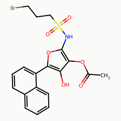 CC(=O)Oc1c(NS(=O)(=O)CCCBr)oc(-c2cccc3ccccc23)c1O